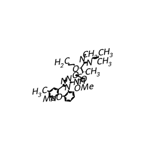 C=CCO[C@H](/C(N=C)=N/C=C(C)C)[C@H](C)S(=O)(=O)Nc1nnc(-c2cncc(C)c2)n1-c1c(OC)cccc1OC